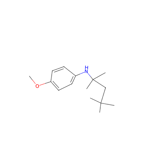 COc1ccc(NC(C)(C)CC(C)(C)C)cc1